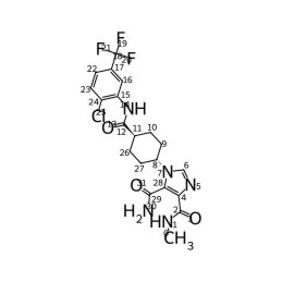 CNC(=O)c1ncn([C@H]2CC[C@H](C(=O)Nc3cc(C(F)(F)F)ccc3Cl)CC2)c1C(N)=O